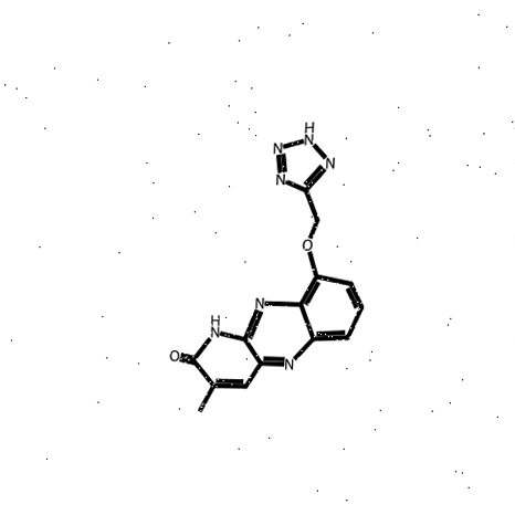 Cc1cc2nc3cccc(OCc4nn[nH]n4)c3nc2[nH]c1=O